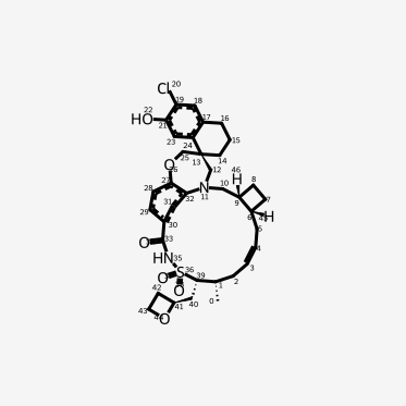 C[C@H]1C/C=C\C[C@H]2CC[C@H]2CN2C[C@@]3(CCCc4cc(Cl)c(O)cc43)COc3ccc(cc32)C(=O)NS(=O)(=O)[C@H]1C[C@@H]1CCO1